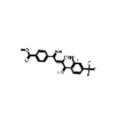 COC(=O)c1ccc(C(=N)/C=C(\O)C(=N)c2ccc(C(F)(F)F)cc2N)cc1